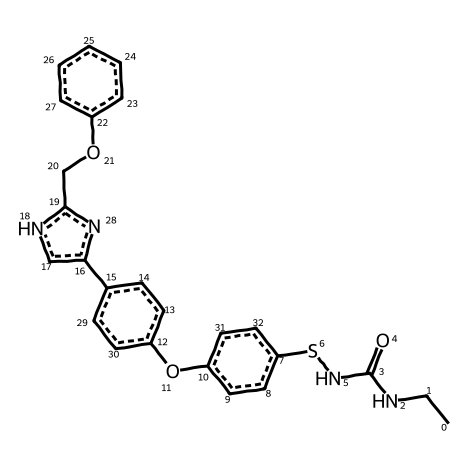 CCNC(=O)NSc1ccc(Oc2ccc(-c3c[nH]c(COc4ccccc4)n3)cc2)cc1